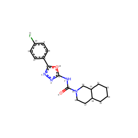 O=C(Nc1nnc(-c2ccc(F)cc2)o1)N1CCC2CCCCC2C1